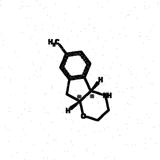 Cc1ccc2c(c1)C[C@H]1OCCN[C@@H]21